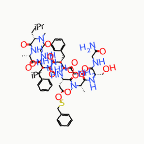 CC(C)C[C@@H](C(=O)N[C@@H](C)C(=O)N[C@H](C(=O)N[C@@H](Cc1ccccc1)C(=O)N[C@@H](CC(=O)OSCc1ccccc1)C(=O)N(C)[C@@H](C)C(=O)N[C@@H](CO)C(=O)NCC(N)=O)C(C)C)N(C)C(=O)CNC(=O)[C@H](Cc1ccccc1)N(C)C(=O)[C@H](C)NC(=O)CN